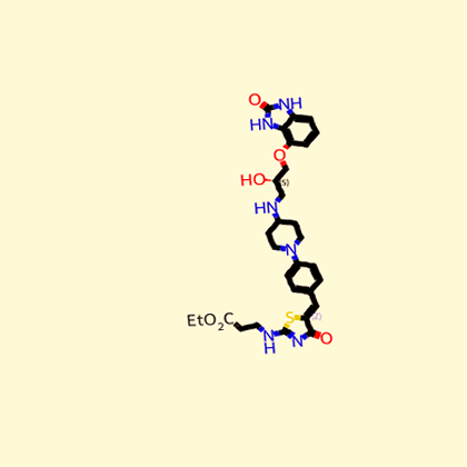 CCOC(=O)CCNC1=NC(=O)/C(=C/c2ccc(N3CCC(NC[C@H](O)COc4cccc5[nH]c(=O)[nH]c45)CC3)cc2)S1